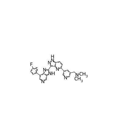 CN(C)Cc1cncc(-c2ccc3[nH]nc(-c4nc5c(-c6ccc(F)s6)cncc5[nH]4)c3n2)c1